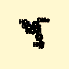 COc1ccc([C@]23C/C(=C/O)C(=O)[C@@H](C)[C@@H]2CCc2c(-c4ccc(-c5ccn[nH]5)cc4)nc(C)nc23)cc1